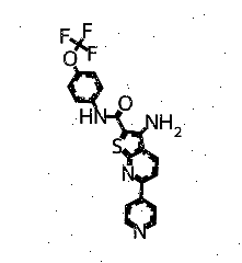 Nc1c(C(=O)Nc2ccc(OC(F)(F)F)cc2)sc2nc(-c3ccncc3)ccc12